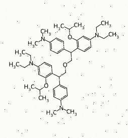 CCN(CC)c1ccc(C(COCC(c2ccc(N(C)C)cc2)c2ccc(N(CC)CC)cc2OC(C)C)c2ccc(N(C)C)cc2)c(OC(C)C)c1